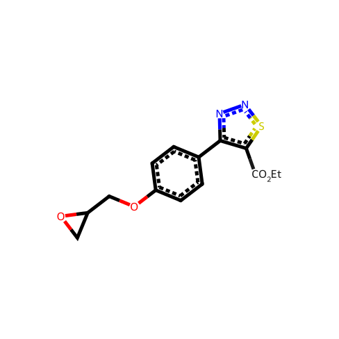 CCOC(=O)c1snnc1-c1ccc(OCC2CO2)cc1